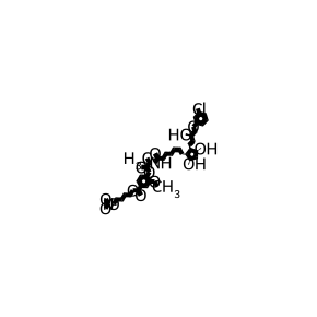 COc1cc(C(=O)OCCCCO[N+](=O)[O-])ccc1OC(=O)C(C)NC(=O)CCC/C=C\C[C@@H]1[C@@H](/C=C/[C@@H](O)COc2cccc(Cl)c2)[C@H](O)C[C@@H]1O